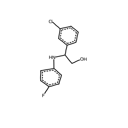 OCC(Nc1ccc(F)cc1)c1cccc(Cl)c1